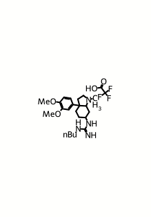 CCCCNC(=N)NC1CCC2(c3ccc(OC)c(OC)c3)CCN(C)C2C1.O=C(O)C(F)(F)F